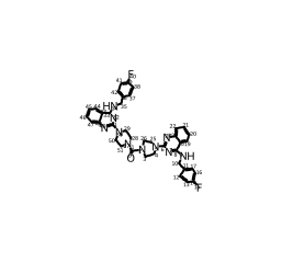 O=C(N1CCN(c2nc(NCc3ccc(F)cc3)c3ccccc3n2)CC1)N1CCN(c2nc(NCc3ccc(F)cc3)c3ccccc3n2)CC1